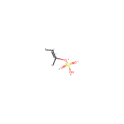 C/C=C(\C)OS(=O)(=O)O